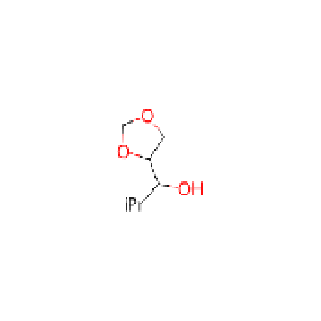 CC(C)C(O)C1COCO1